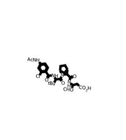 CC(=O)Nc1ccc(C(=O)NC(C(=O)N2C3CCC(C3)C2C(=O)NC(C=O)CC(=O)O)C(C)(C)C)c(Cl)c1